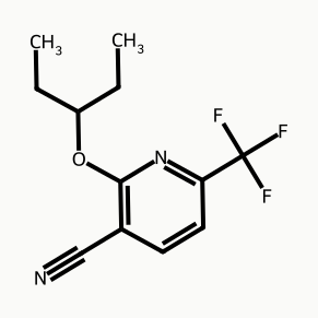 CCC(CC)Oc1nc(C(F)(F)F)ccc1C#N